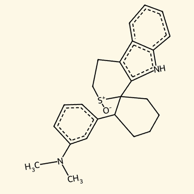 CN(C)c1cccc(C2CCCCC23c2[nH]c4ccccc4c2CC[S+]3[O-])c1